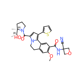 COc1cc2c(cc1C(=O)NC1(C#N)COC1)-c1c(-c3cccs3)cc(C(=O)N3CCC[C@]3(C)[C@@H](C)O)n1CC2